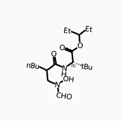 CCCCC(CN(O)C=O)C(=O)N[C@H](C(=O)OC(CC)CC)C(C)(C)C